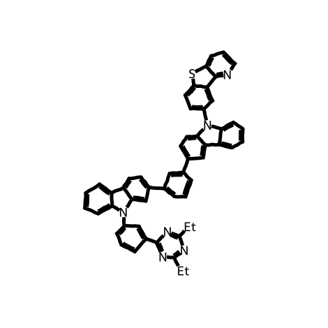 CCc1nc(CC)nc(-c2cccc(-n3c4ccccc4c4ccc(-c5cccc(-c6ccc7c(c6)c6ccccc6n7-c6ccc7sc8cccnc8c7c6)c5)cc43)c2)n1